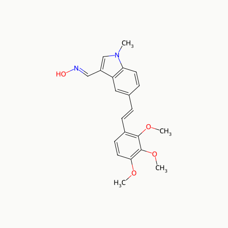 COc1ccc(C=Cc2ccc3c(c2)c(/C=N/O)cn3C)c(OC)c1OC